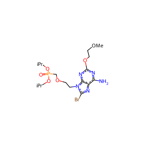 COCCOc1nc(N)c2nc(Br)n(CCOCP(=O)(OC(C)C)OC(C)C)c2n1